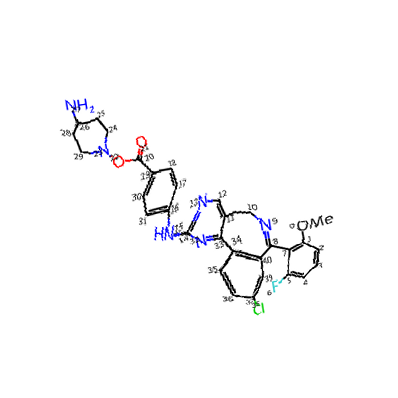 COc1cccc(F)c1C1=NCc2cnc(Nc3ccc(C(=O)ON4CCC(N)CC4)cc3)nc2-c2ccc(Cl)cc21